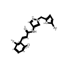 CC(=O)c1ccc(Cn2cc(NC(=O)/C=C/c3c(F)cccc3Cl)cn2)o1